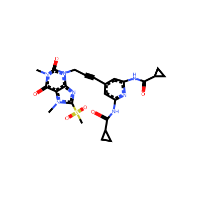 Cn1c(=O)c2c(nc(S(C)(=O)=O)n2C)n(CC#Cc2cc(NC(=O)C3CC3)nc(NC(=O)C3CC3)c2)c1=O